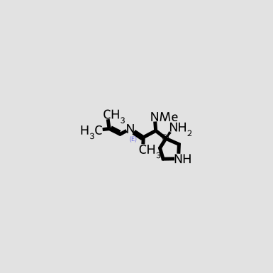 CNC(/C(C)=N/C=C(C)C)[C@@]1(N)CCNC1